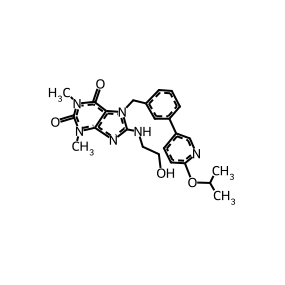 CC(C)Oc1ccc(-c2cccc(Cn3c(NCCO)nc4c3c(=O)n(C)c(=O)n4C)c2)cn1